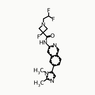 Cc1ncc(-c2ccc3cnc(NC(=O)C4(F)CN(CC(F)F)C4)cc3c2)n1C